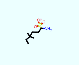 CCC(C)(C)CCC(N)S(=O)(=O)O